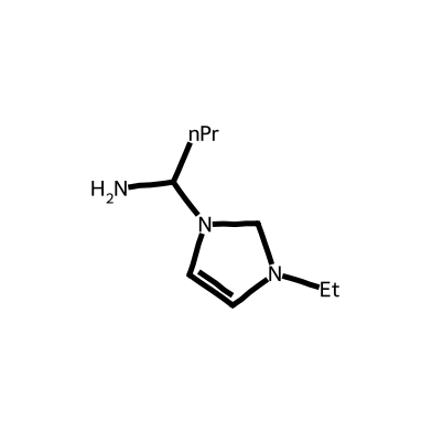 CCCC(N)N1C=CN(CC)C1